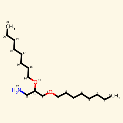 CCCCCCCCOCC(CN)OCCCCCCCC